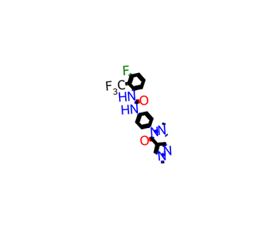 CN(C)N(C(=O)c1cnn(C)c1)c1ccc(NC(=O)Nc2cccc(F)c2C(F)(F)F)cc1